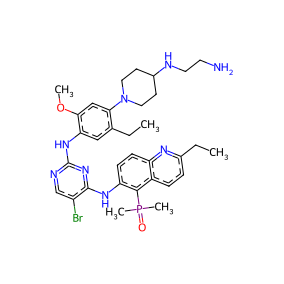 CCc1ccc2c(P(C)(C)=O)c(Nc3nc(Nc4cc(CC)c(N5CCC(NCCN)CC5)cc4OC)ncc3Br)ccc2n1